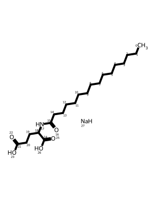 CCCCCCCCCCCCCCCC(=O)NC(CCC(=O)O)C(=O)O.[NaH]